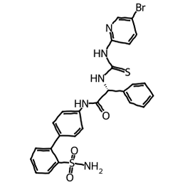 NS(=O)(=O)c1ccccc1-c1ccc(NC(=O)[C@H](NC(=S)Nc2ccc(Br)cn2)c2ccccc2)cc1